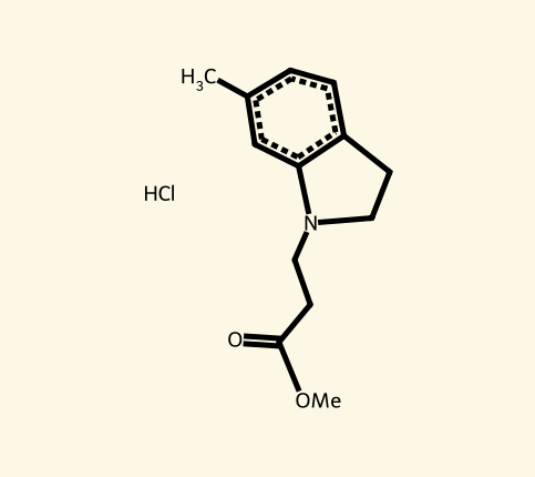 COC(=O)CCN1CCc2ccc(C)cc21.Cl